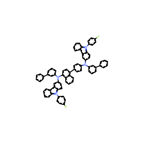 Fc1ccc(-n2c3ccccc3c3cc(N(c4ccc(-c5ccc(N(c6cccc(-c7ccccc7)c6)c6ccc7c(c6)c6ccccc6n7-c6ccc(F)cc6)c6ccccc56)cc4)c4cccc(-c5ccccc5)c4)ccc32)cc1